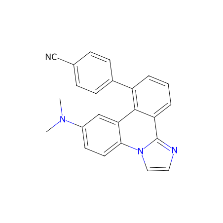 CN(C)c1ccc2c(c1)c1c(-c3ccc(C#N)cc3)cccc1c1nccn21